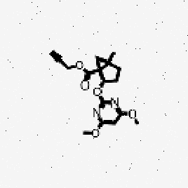 C#CCOC(=O)C12CC1(C)CCC2Oc1nc(OC)cc(OC)n1